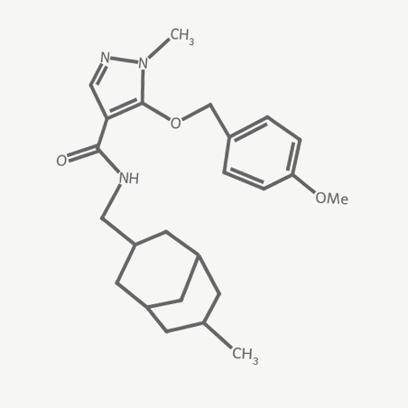 COc1ccc(COc2c(C(=O)NCC3CC4CC(C)CC(C3)C4)cnn2C)cc1